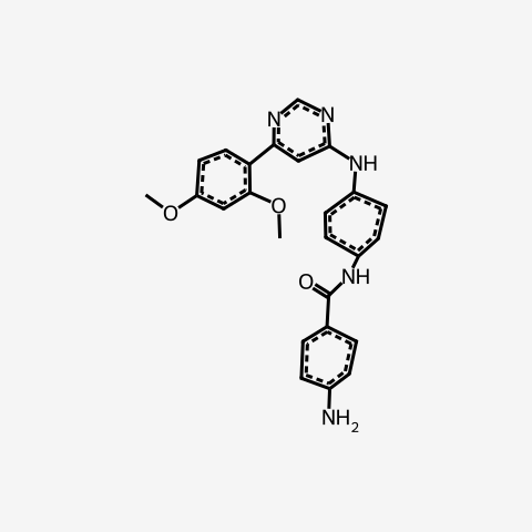 COc1ccc(-c2cc(Nc3ccc(NC(=O)c4ccc(N)cc4)cc3)ncn2)c(OC)c1